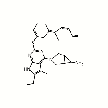 C=C/C=C\C(C)=C(/C)C/C(=C\C)Sc1nc(N2CC3C(N)C3C2)c2c(C)c(CC)[nH]c2n1